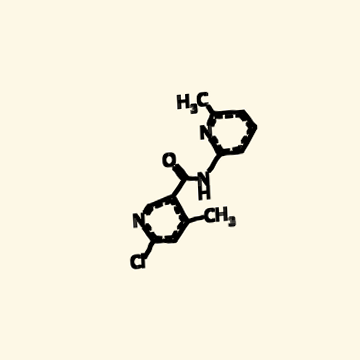 Cc1cccc(NC(=O)c2cnc(Cl)cc2C)n1